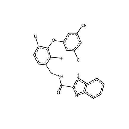 N#Cc1cc(Cl)cc(Oc2c(Cl)ccc(CNC(=O)c3nc4ccccc4[nH]3)c2F)c1